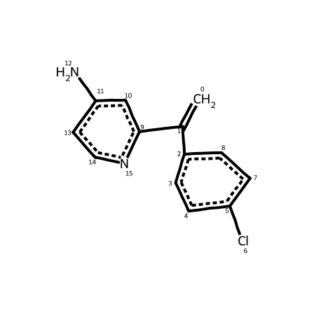 C=C(c1ccc(Cl)cc1)c1cc(N)ccn1